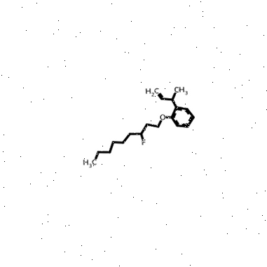 C=CC(C)c1ccccc1OCCC(F)CCCCCC